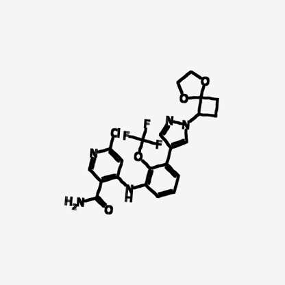 NC(=O)c1cnc(Cl)cc1Nc1cccc(-c2cnn(C3CCC34OCCO4)c2)c1OC(F)(F)F